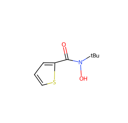 CC(C)(C)N(O)C(=O)c1cccs1